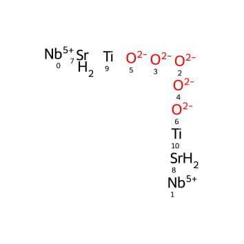 [Nb+5].[Nb+5].[O-2].[O-2].[O-2].[O-2].[O-2].[SrH2].[SrH2].[Ti].[Ti]